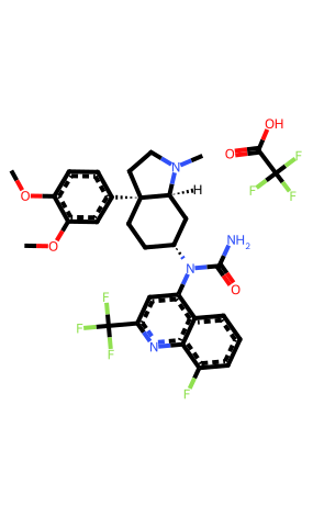 COc1ccc([C@@]23CC[C@@H](N(C(N)=O)c4cc(C(F)(F)F)nc5c(F)cccc45)C[C@@H]2N(C)CC3)cc1OC.O=C(O)C(F)(F)F